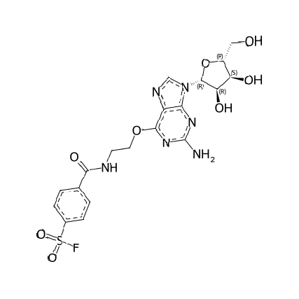 Nc1nc(OCCNC(=O)c2ccc(S(=O)(=O)F)cc2)c2ncn([C@@H]3O[C@H](CO)[C@@H](O)[C@H]3O)c2n1